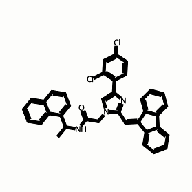 CC(NC(=O)Cn1cc(-c2ccc(Cl)cc2Cl)nc1C=C1c2ccccc2-c2ccccc21)c1cccc2ccccc12